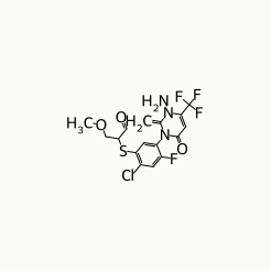 C=C1N(N)C(C(F)(F)F)=CC(=O)N1c1cc(SC(C=O)COC)c(Cl)cc1F